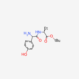 CC[C@H](NC(=O)C(N)c1ccc(O)cc1)C(=O)OC(C)(C)C